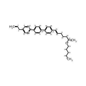 C=CCc1cnc(-c2ccc(-c3ccc(C=CCCCC(C)OCCCCC)cc3)cc2)nc1